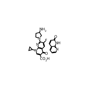 NC1CCN(c2nc3c(cc2F)c(=O)c(C(=O)O)cn3C2CC2)C1.O=c1ccc2cccnc2[nH]1